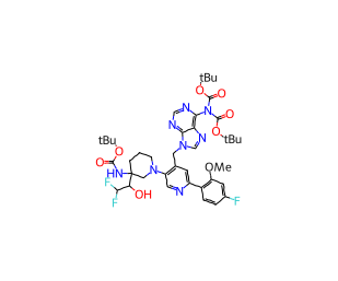 COc1cc(F)ccc1-c1cc(Cn2cnc3c(N(C(=O)OC(C)(C)C)C(=O)OC(C)(C)C)ncnc32)c(N2CCCC(NC(=O)OC(C)(C)C)(C(O)C(F)F)C2)cn1